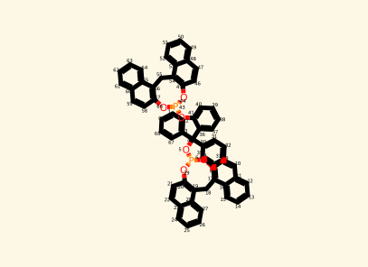 c1ccc(C(OP2Oc3ccc4ccccc4c3Cc3c(ccc4ccccc34)O2)(c2ccccc2)c2ccccc2OP2Oc3ccc4ccccc4c3Cc3c(ccc4ccccc34)O2)cc1